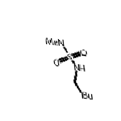 CCC(C)CNS(=O)(=O)NC